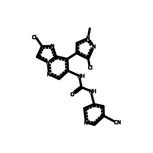 Cn1cc(-c2c(NC(=O)Nc3cncc(C#N)c3)cnn3cc(Cl)nc23)c(Cl)n1